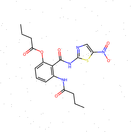 CCCC(=O)Nc1cccc(OC(=O)CCC)c1C(=O)Nc1ncc([N+](=O)[O-])s1